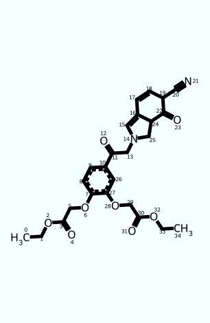 CCOC(=O)COc1ccc(C(=O)CN2C=C3C=CC(C#N)C(=O)C3C2)cc1OCC(=O)OCC